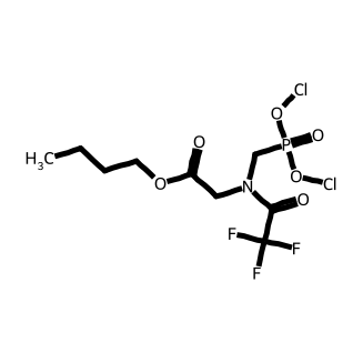 CCCCOC(=O)CN(CP(=O)(OCl)OCl)C(=O)C(F)(F)F